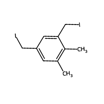 Cc1cc(CI)cc(CI)c1C